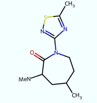 CNC1CC(C)CCN(c2nsc(C)n2)C1=O